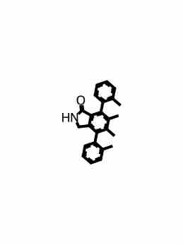 Cc1ccccc1-c1c(C)c(C)c(-c2ccccc2C)c2c1CNC2=O